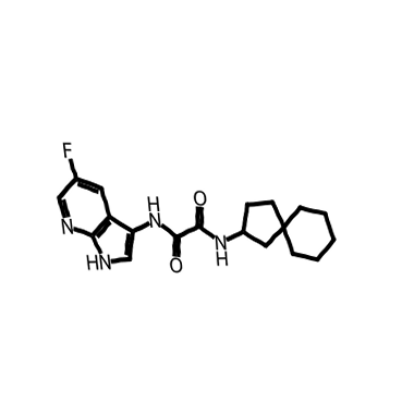 O=C(Nc1c[nH]c2ncc(F)cc12)C(=O)NC1CCC2(CCCCC2)C1